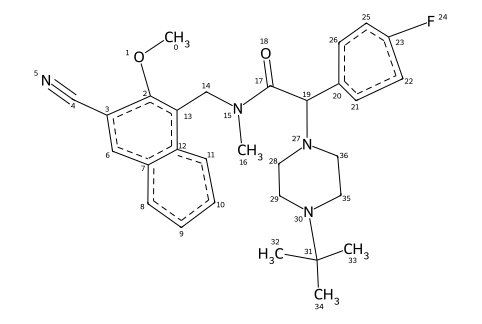 COc1c(C#N)cc2ccccc2c1CN(C)C(=O)C(c1ccc(F)cc1)N1CCN(C(C)(C)C)CC1